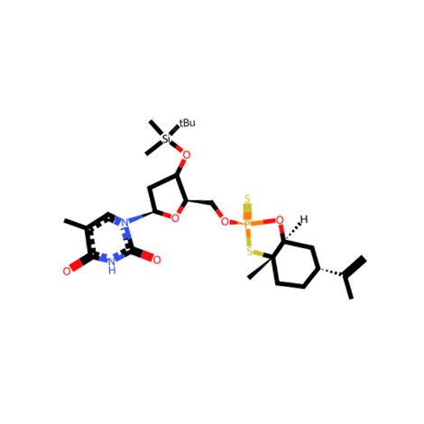 C=C(C)[C@@H]1CC[C@]2(C)S[P@@](=S)(OC[C@H]3O[C@@H](n4cc(C)c(=O)[nH]c4=O)CC3O[Si](C)(C)C(C)(C)C)O[C@H]2C1